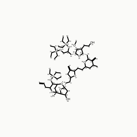 C=CCC1O[C@@H]2CC(O[C@@]3(CCC4CC(=C)C(CCC5CC(C)C(=C)C(C[C@@H]6O[C@H](CC(CO[Si](CC)(CC)CC)O[Si](CC)(CC)CC)[C@H](OC)C6CCO)O5)O4)CC(O)C2O3)C1O[Si](CC)(CC)CC